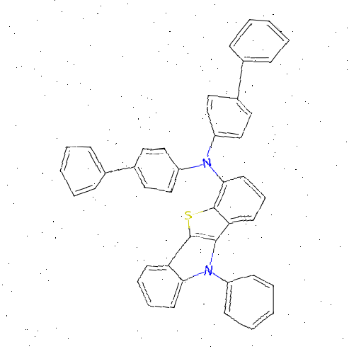 c1ccc(-c2ccc(N(c3ccc(-c4ccccc4)cc3)c3cccc4c3sc3c5ccccc5n(-c5ccccc5)c43)cc2)cc1